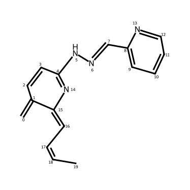 C=c1ccc(N/N=C/c2ccccn2)n/c1=C/C=C\C